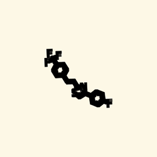 Fc1ccc(-c2csc(/C=C/c3ccc(C(F)(F)F)cc3)n2)cc1